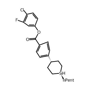 CCCCC[Si@H]1CC[C@H](c2ccc(C(=O)Oc3ccc(Cl)c(F)c3)cc2)CC1